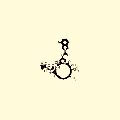 CC1CCC=C[C@@H]2C[C@@]2(C(=O)NS(=O)(=O)C2(C)CC2)NC(=O)[C@@H]2C[C@@H](OC(=O)N3Cc4cccc(F)c4C3)CN2C(=O)[C@@H](N)[C@H](C)C1